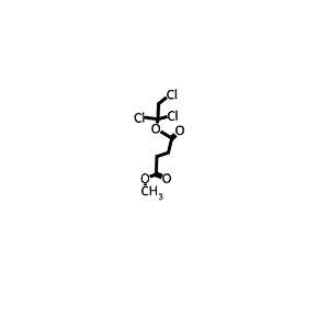 COC(=O)CCC(=O)OC(Cl)(Cl)CCl